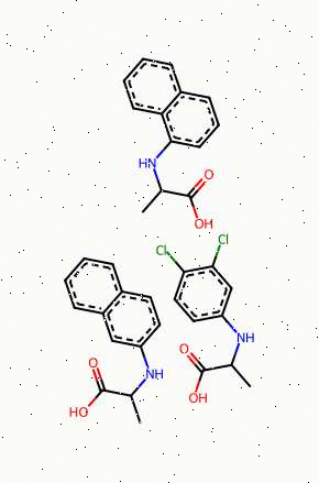 CC(Nc1ccc(Cl)c(Cl)c1)C(=O)O.CC(Nc1ccc2ccccc2c1)C(=O)O.CC(Nc1cccc2ccccc12)C(=O)O